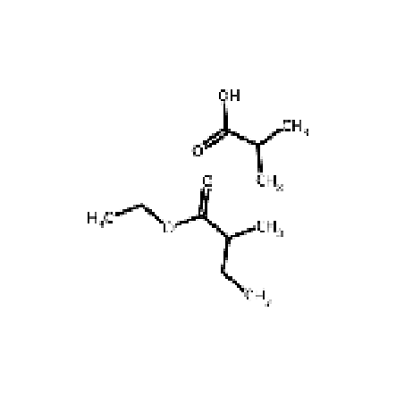 CC(C)C(=O)O.CCOC(=O)C(C)CC